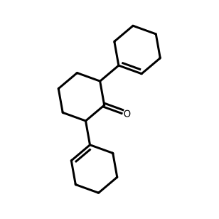 O=C1C(C2=CCCCC2)CCCC1C1=CCCCC1